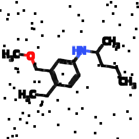 CCCC(C)Nc1ccc(CC)c(COC)c1